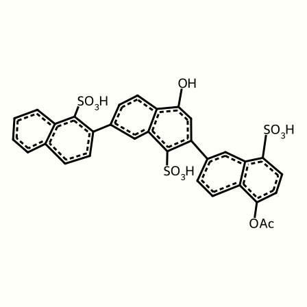 CC(=O)Oc1ccc(S(=O)(=O)O)c2cc(-c3cc(O)c4ccc(-c5ccc6ccccc6c5S(=O)(=O)O)cc4c3S(=O)(=O)O)ccc12